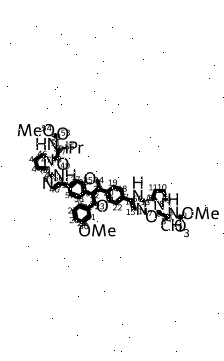 COC(=O)N[C@@H](C)C(=O)N1CCC[C@H]1c1ncc(-c2ccc3c(c2)OC(c2cccc(OC)c2)C2=C3COc3cc(-c4cnc([C@@H]5CCCN5C(=O)[C@@H](NC(=O)OC)C(C)C)[nH]4)ccc32)[nH]1